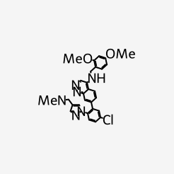 CNCc1cnn(-c2ccc(Cl)cc2-c2ccc3c(NCc4ccc(OC)cc4OC)cnnc3c2)c1